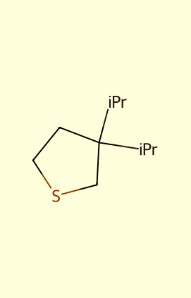 CC(C)C1(C(C)C)CCSC1